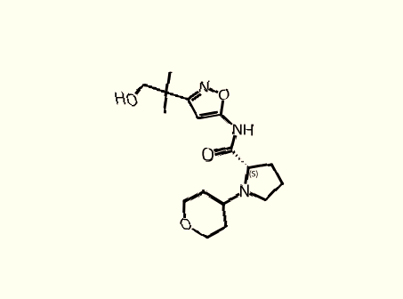 CC(C)(CO)c1cc(NC(=O)[C@@H]2CCCN2C2CCOCC2)on1